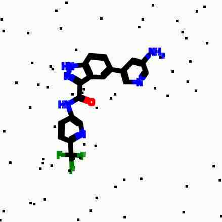 Nc1cncc(-c2ccc3[nH]nc(C(=O)Nc4ccc(C(F)(F)F)nc4)c3c2)c1